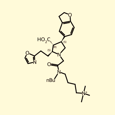 CCCCN(CCCC[N+](C)(C)C)C(=O)CN1C[C@H](c2ccc3c(c2)CCO3)[C@@H](C(=O)O)[C@@H]1CCc1ncco1